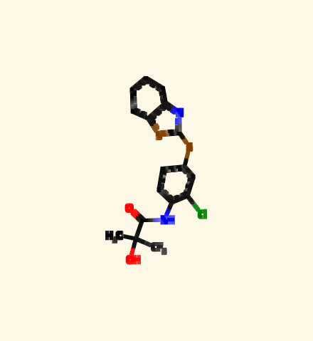 CC(O)(C(=O)Nc1ccc(Sc2nc3ccccc3s2)cc1Cl)C(F)(F)F